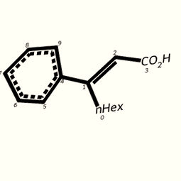 CCCCCCC(=CC(=O)O)c1ccccc1